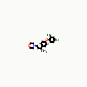 CC(CCN1CCOCC1)c1ccc(Oc2ccc(Cl)cc2Cl)cc1